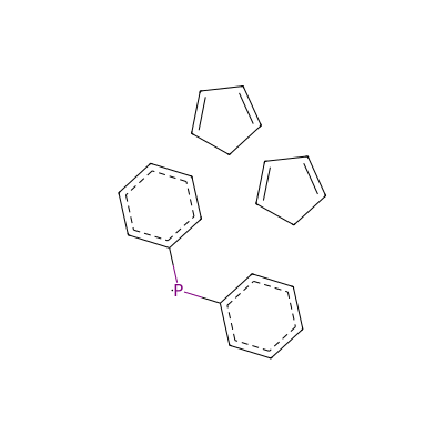 C1=CCC=C1.C1=CCC=C1.c1ccc([P]c2ccccc2)cc1